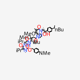 CCCCC(C)c1ccc([C@H](O)[C@@H](C)NC(=O)[C@H](C)[C@@H](OC)[C@@H]2CCCN2C(=O)C[C@@H](OC)[C@H]([C@@H](C)CC)N(C)C(=O)[C@@H](NC(=O)[C@H](C(C)C)N(C)C(=O)OCc2ccc(NC)cc2)C(C)C)cc1